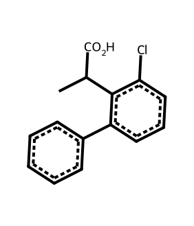 CC(C(=O)O)c1c(Cl)cccc1-c1ccccc1